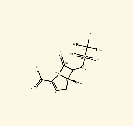 O=C(O)C1=CC[C@H]2C(OS(=O)(=O)C(F)(F)F)C(=O)N12